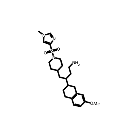 COc1ccc2c(c1)CC(C(CCN)CC1CCN(S(=O)(=O)c3cn(C)cn3)CC1)CC2